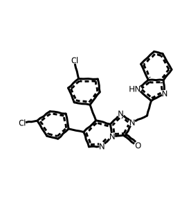 O=c1n(Cc2nc3ccccc3[nH]2)nc2c(-c3ccc(Cl)cc3)c(-c3ccc(Cl)cc3)cnn12